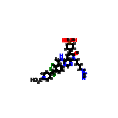 CC(Nc1ncnc2c1cc(C1CCS(O)(O)CC1)c(=O)n2CCCCN=[N+]=[N-])c1cccc(C(F)(F)C2CCN(C(=O)O)CC2)c1F